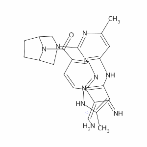 Cc1cc(Nc2cc(C)[nH]n2)nc(N2CC3CCC(C2)N3C(=O)c2ccc(/C(C=N)=C/N)nc2)n1